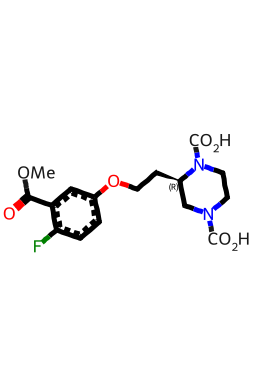 COC(=O)c1cc(OCC[C@@H]2CN(C(=O)O)CCN2C(=O)O)ccc1F